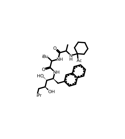 CCC(C)C(NC(=O)C(C)NC1(C(C)=O)CCCCC1)C(=O)N[C@@H](Cc1ccc2ccccc2c1)[C@@H](O)[C@@H](O)CC(C)C